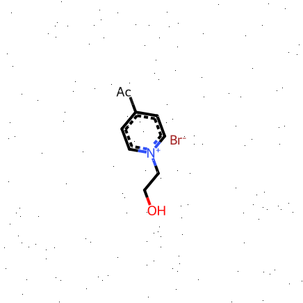 CC(=O)c1cc[n+](CCO)cc1.[Br-]